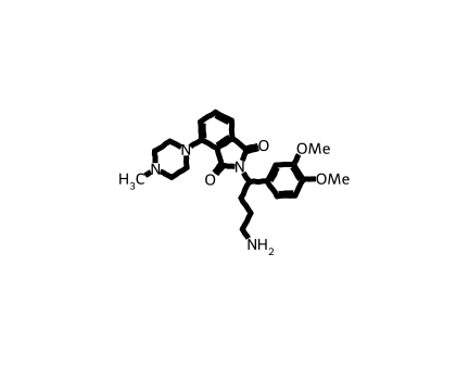 COc1ccc(C(CCCN)N2C(=O)c3cccc(N4CCN(C)CC4)c3C2=O)cc1OC